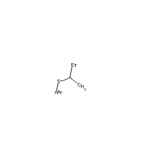 CC[CH]SC(C)CC